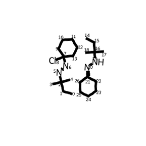 CCC(C)(C)N=NC1(Cl)CCCCC1.CCC(C)(C)NN=C1CCCCC1